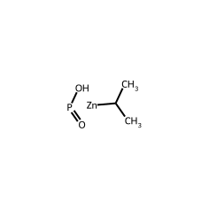 C[CH](C)[Zn].O=PO